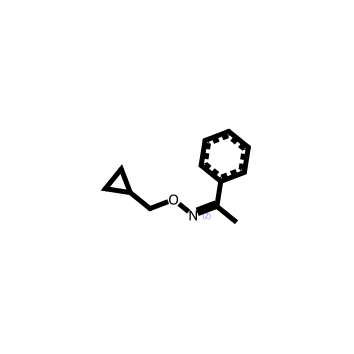 C/C(=N/OCC1CC1)c1ccccc1